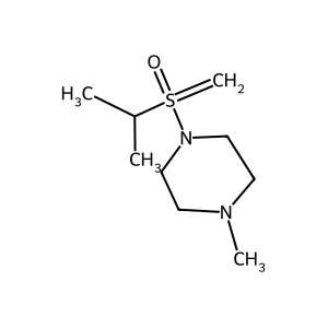 C=S(=O)(C(C)C)N1CCN(C)CC1